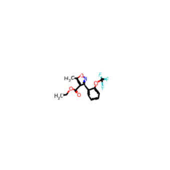 CCOC(=O)c1c(-c2ccccc2OC(F)(F)F)noc1C